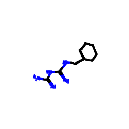 N=C(N)NC(=N)NCC1CCCCC1